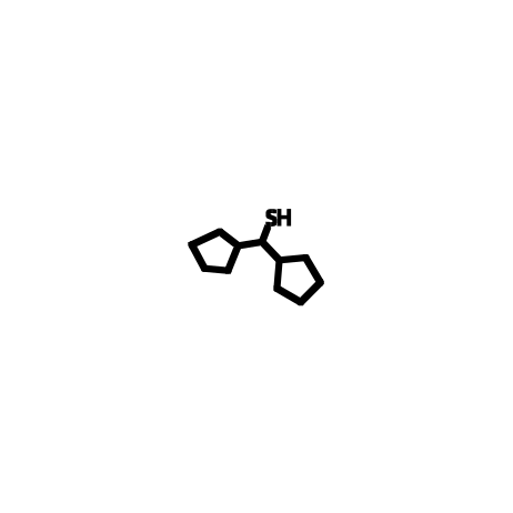 SC(C1CCCC1)C1CCCC1